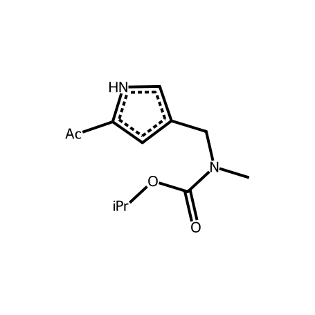 CC(=O)c1cc(CN(C)C(=O)OC(C)C)c[nH]1